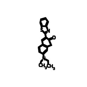 CCN(CC)c1ccc2c(c1)CC(=O)C(c1nc3ccccc3s1)=C2